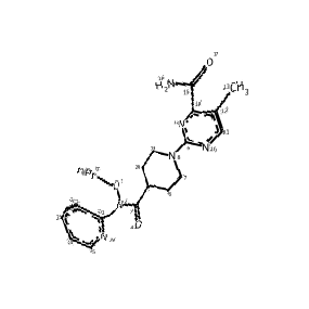 CCCON(C(=O)C1CCN(c2ncc(C)c(C(N)=O)n2)CC1)c1ccccn1